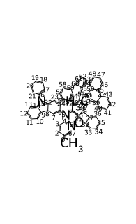 Cc1ccc(N(C2=CC3c4ccccc4N(c4ccccc4)C3C=C2)c2cc3c(c4c2oc2ccccc24)C2C4C=CC=CC4C4C=CC=CC4[C@@]2(C)C32c3ccccc3-c3ccccc32)nc1